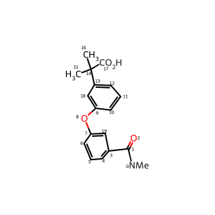 CNC(=O)c1cccc(Oc2cccc(C(C)(C)C(=O)O)c2)c1